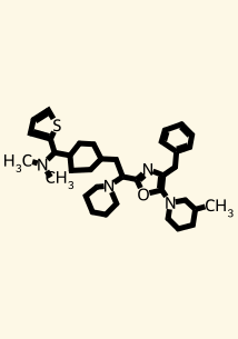 CC1CCCN(c2oc(C(CC3CCC(C(c4cccs4)N(C)C)CC3)N3CCCCC3)nc2Cc2ccccc2)C1